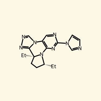 CC[C@@H]1CC[C@@]2(CC)c3nncn3-c3cnc(-n4ccnc4)nc3N12